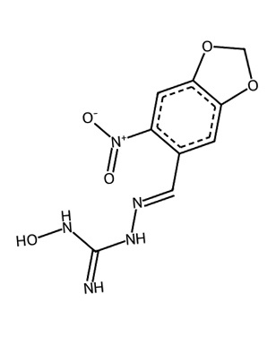 N=C(NO)N/N=C/c1cc2c(cc1[N+](=O)[O-])OCO2